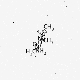 CCc1ccc2cc(-c3nc4cc5c(cc4n3C)CCN(C[C@@H](C)N)C5=O)n(CC3CC3)c2c1